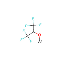 FC(F)(F)C([O][Al])C(F)(F)F